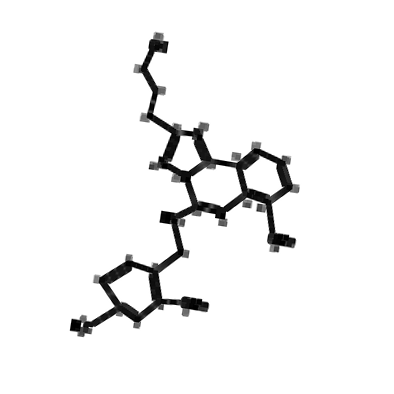 COc1cc(C)ccc1CNc1nc2c(OC)cccc2c2nc(CCCO)nn12